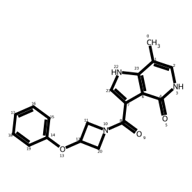 Cc1c[nH]c(=O)c2c(C(=O)N3CC(Oc4ccccc4)C3)c[nH]c12